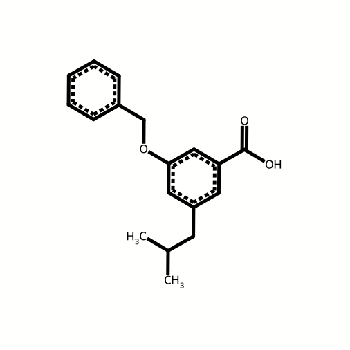 CC(C)Cc1cc(OCc2ccccc2)cc(C(=O)O)c1